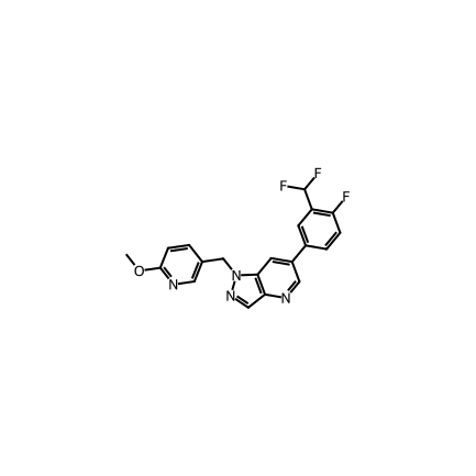 COc1ccc(Cn2ncc3ncc(-c4ccc(F)c(C(F)F)c4)cc32)cn1